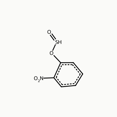 O=[SH]Oc1ccccc1[N+](=O)[O-]